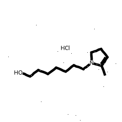 CC1=CCCN1CCCCCCCO.Cl